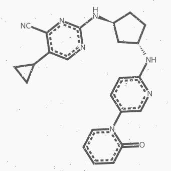 N#Cc1nc(N[C@H]2CC[C@H](Nc3ccc(-n4ccccc4=O)cn3)C2)ncc1C1CC1